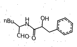 CCCCC([C]=O)NC(=O)C(O)Cc1ccccc1